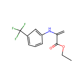 C=C(Nc1cccc(C(F)(F)F)c1)C(=O)OCC